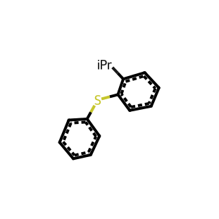 CC(C)c1ccccc1Sc1ccccc1